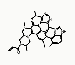 C=CC(=O)N1CC2CN(C)c3c(c4cc(F)c(-c5c(C)ccc6[nH]cnc56)c(F)c4n(-c4c(C(C)C)ncnc4C(C)C)c3=O)N2CC1C